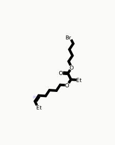 CC/C=C\CCCCOC(CC)C(=O)OCCCCBr